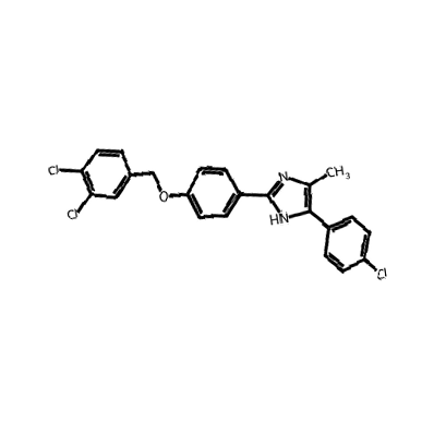 Cc1nc(-c2ccc(OCc3ccc(Cl)c(Cl)c3)cc2)[nH]c1-c1ccc(Cl)cc1